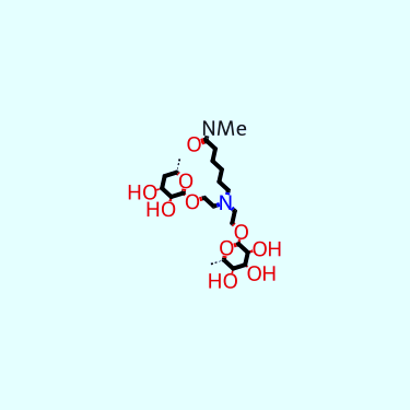 CNC(=O)CCCCCN(CCO[C@@H]1O[C@@H](C)[C@@H](O)[C@@H](O)[C@@H]1O)CCO[C@@H]1O[C@@H](C)C[C@@H](O)[C@@H]1O